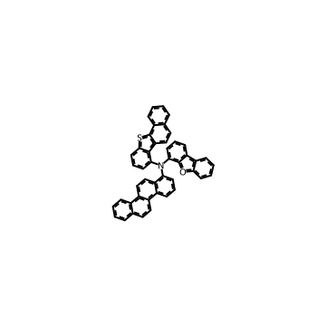 c1ccc2c(c1)ccc1c3cccc(N(c4cccc5c4oc4ccccc45)c4cccc5sc6c7ccccc7ccc6c45)c3ccc21